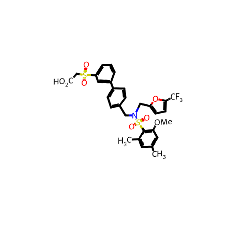 COc1cc(C)cc(C)c1S(=O)(=O)N(Cc1ccc(-c2cccc(S(=O)(=O)CC(=O)O)c2)cc1)Cc1ccc(C(F)(F)F)o1